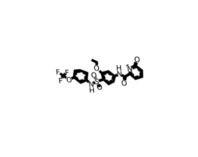 CCOc1cc(NC(=O)c2cccc(=O)n2C)ccc1S(=O)(=O)Nc1cccc(OC(F)(F)F)c1